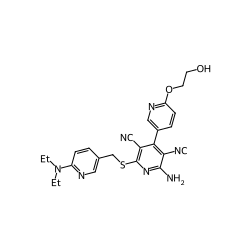 [C-]#[N+]c1c(N)nc(SCc2ccc(N(CC)CC)nc2)c(C#N)c1-c1ccc(OCCO)nc1